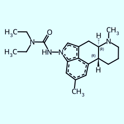 CCN(CC)C(=O)Nn1cc2c3c(cc(C)cc31)[C@H]1CCCN(C)[C@@H]1C2